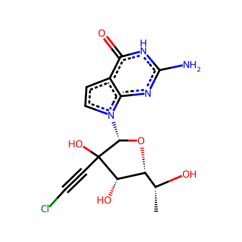 C[C@@H](O)[C@H]1O[C@@H](n2ccc3c(=O)[nH]c(N)nc32)C(O)(C#CCl)[C@H]1O